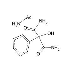 CC(N)=O.NC(=O)C(O)(C(N)=O)c1ccccc1